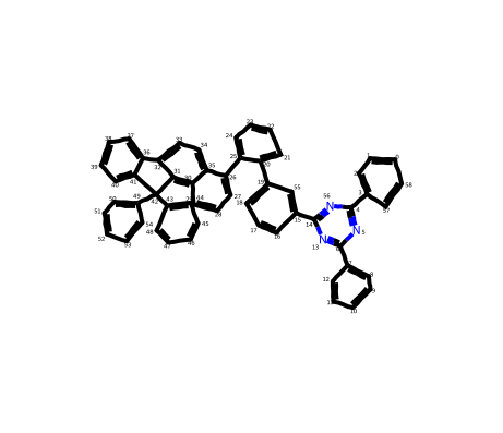 c1ccc(-c2nc(-c3ccccc3)nc(-c3cccc(-c4ccccc4-c4cccc5c6c(ccc45)-c4ccccc4C6(c4ccccc4)c4ccccc4)c3)n2)cc1